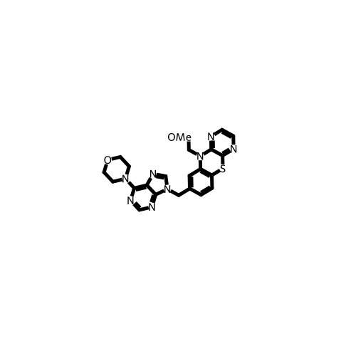 COCN1c2cc(Cn3cnc4c(N5CCOCC5)ncnc43)ccc2Sc2nccnc21